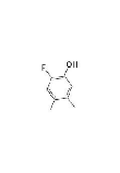 Cc1cc(F)c(O)cc1I